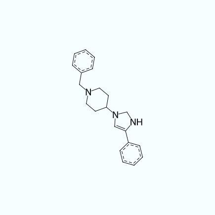 C1=C(c2ccccc2)NCN1C1CCN(Cc2ccccc2)CC1